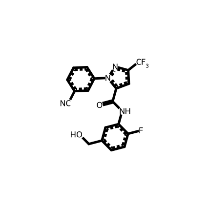 N#Cc1cccc(-n2nc(C(F)(F)F)cc2C(=O)Nc2cc(CO)ccc2F)c1